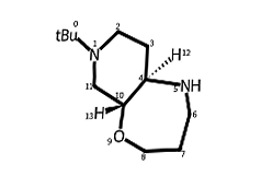 CC(C)(C)N1CC[C@H]2NCCCO[C@@H]2C1